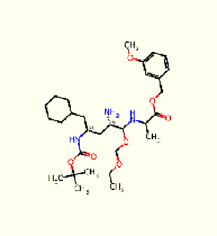 CCOCOC(NC(C)C(=O)OCc1cccc(OC)c1)[C@@H](N)C[C@H](CC1CCCCC1)NC(=O)OC(C)(C)C